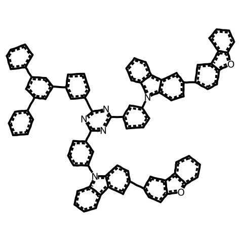 c1ccc(-c2cc(-c3ccccc3)cc(-c3cccc(-c4nc(-c5cccc(-n6c7ccccc7c7cc(-c8ccc9oc%10ccccc%10c9c8)ccc76)c5)nc(-c5cccc(-n6c7ccccc7c7cc(-c8ccc9oc%10ccccc%10c9c8)ccc76)c5)n4)c3)c2)cc1